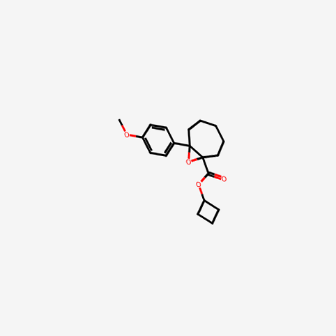 COc1ccc(C23CCCCCC2(C(=O)OC2CCC2)O3)cc1